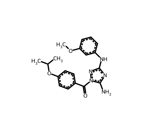 COc1cccc(Nc2nc(N)n(C(=O)c3ccc(OC(C)C)cc3)n2)c1